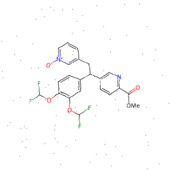 COC(=O)c1ccc(C(Cc2ccc[n+]([O-])c2)c2ccc(OC(F)F)c(OC(F)F)c2)cn1